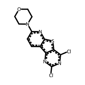 Clc1nc(Cl)c2sc3nc(N4CCOCC4)ccc3c2n1